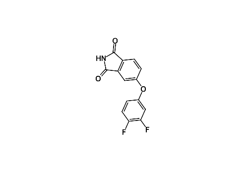 O=C1NC(=O)c2cc(Oc3ccc(F)c(F)c3)ccc21